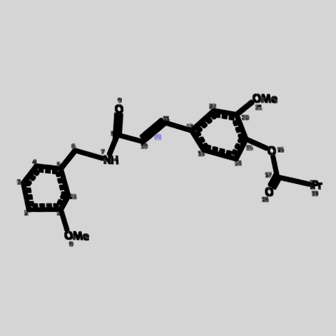 COc1cccc(CNC(=O)/C=C/c2ccc(OC(=O)C(C)C)c(OC)c2)c1